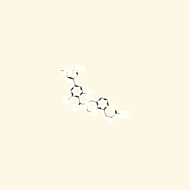 CN/C=C(\C=N)c1cc(Cl)c(C(=O)N2COc3c(C[C@H](C)C(=O)O)cccc3C2)c(Cl)c1